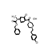 CN(C(=O)OCc1ccccc1)c1ccc(C(=O)N2CCN(CCc3ccc(Cl)cc3)CC2)c(Cl)c1.Cl